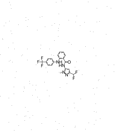 Cn1nc(C(F)F)cc1NC(=O)c1ccccc1Nc1ccc(C(F)(F)F)cc1